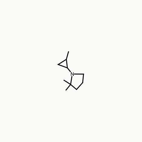 CC1CC1N1CCCC1(C)C